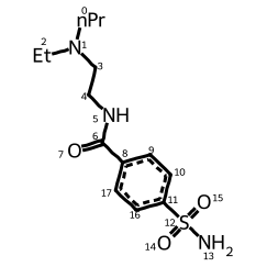 CCCN(CC)CCNC(=O)c1ccc(S(N)(=O)=O)cc1